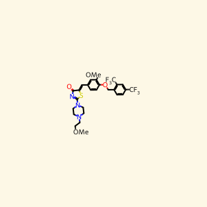 COCCN1CCN(C2=NC(=O)C(=Cc3ccc(OCc4ccc(C(F)(F)F)cc4C(F)(F)F)c(OC)c3)S2)CC1